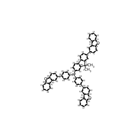 CC1(C)c2cc(-c3ccc4oc5ccccc5c4c3)ccc2-c2ccc(N(c3ccc(-c4ccc5oc6ccccc6c5c4)cc3)c3ccc(-c4ccc5oc6ccccc6c5c4)cc3)cc21